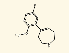 COc1ccc(F)cc1C1=CCCNCC1